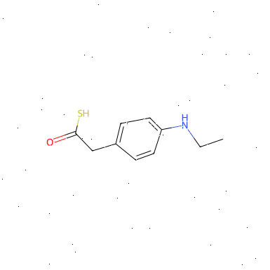 CCNc1ccc(CC(=O)S)cc1